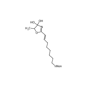 CCCCCCCCCCCCCCCC=CC1=NC(O)(O)C(C)O1